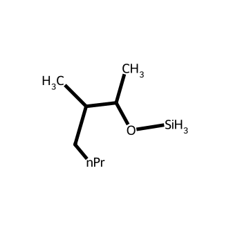 CCCCC(C)C(C)O[SiH3]